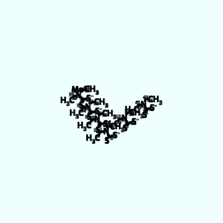 CCN(CC)C(=S)[S-].CCN(CC)C(=S)[S-].CCN(CC)C(=S)[S-].CCN(CC)C(=S)[S-].CCN(CC)C(=S)[S-].CCN(CC)C(=S)[S-].[Mo+6]